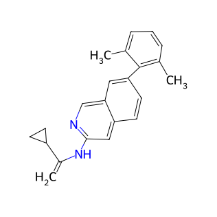 C=C(Nc1cc2ccc(-c3c(C)cccc3C)cc2cn1)C1CC1